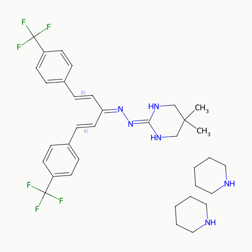 C1CCNCC1.C1CCNCC1.CC1(C)CNC(=NN=C(/C=C/c2ccc(C(F)(F)F)cc2)/C=C/c2ccc(C(F)(F)F)cc2)NC1